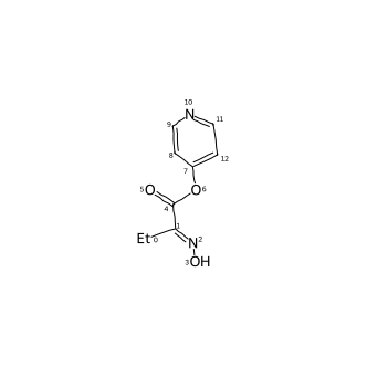 CCC(=NO)C(=O)Oc1ccncc1